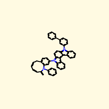 C=C1/C=C\C=C/Cc2ccc(-n3c4ccccc4c4c5c6ccccc6n(-c6cccc(-c7ccccc7)c6)c5ccc43)cc2N1c1ccccc1